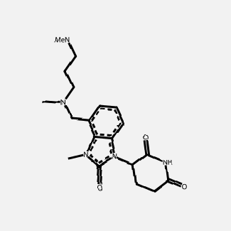 CNCCCN(C)Cc1cccc2c1n(C)c(=O)n2C1CCC(=O)NC1=O